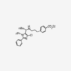 CCCCC(NCCCc1ccc(C(=O)OCC)cc1)c1c(Cl)nc(-c2ccccc2)n1CCC